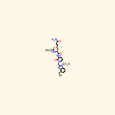 COC(=O)N[C@@H](CC/C=C/C(N)=O)C(=O)Nc1cccn(Cc2nc3c(CC(C)C)cccc3n2C(=O)O)c1=O